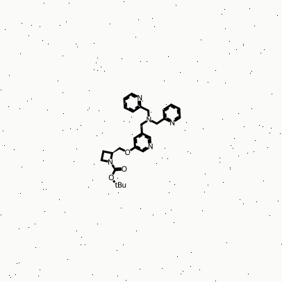 CC(C)(C)OC(=O)N1CC[C@H]1COc1cncc(CN(Cc2ccccn2)Cc2ccccn2)c1